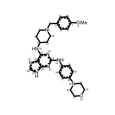 COc1ccc(CN2CCC(Nc3nc(Nc4ccc(N5CCOCC5)cc4)nc4[nH]cnc34)CC2)cc1